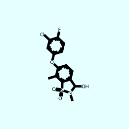 Cc1c(Oc2ccc(F)c(Cl)c2)ccc2c1S(=O)(=O)N(C)C2O